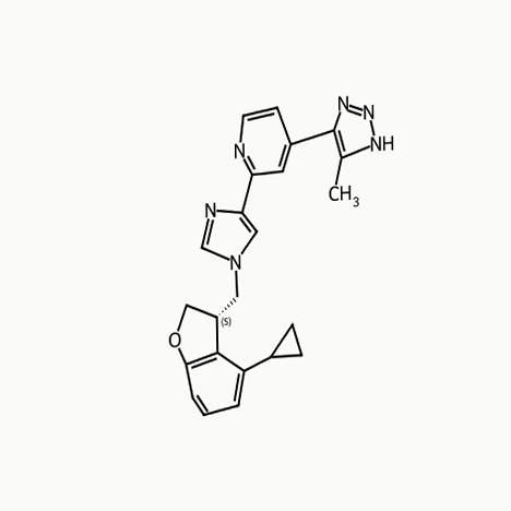 Cc1[nH]nnc1-c1ccnc(-c2cn(C[C@H]3COc4cccc(C5CC5)c43)cn2)c1